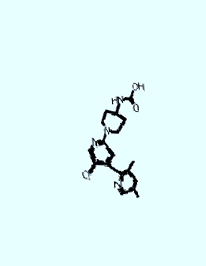 Cc1cnc(-c2cc(N3CCC(NC(=O)O)CC3)ncc2Cl)c(C)c1